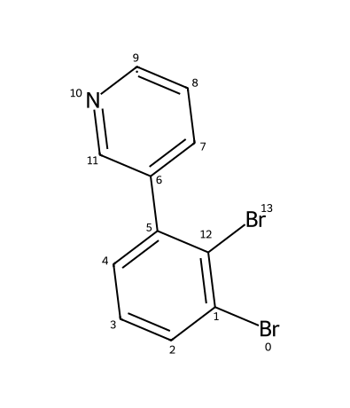 Brc1cccc(-c2cc[c]nc2)c1Br